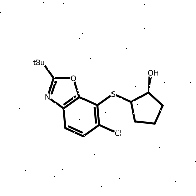 CC(C)(C)c1nc2ccc(Cl)c(SC3CCC[C@@H]3O)c2o1